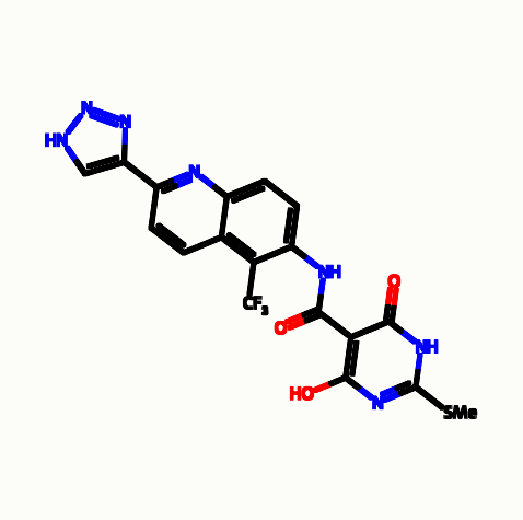 CSc1nc(O)c(C(=O)Nc2ccc3nc(-c4c[nH]nn4)ccc3c2C(F)(F)F)c(=O)[nH]1